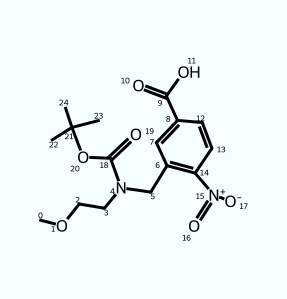 COCCN(Cc1cc(C(=O)O)ccc1[N+](=O)[O-])C(=O)OC(C)(C)C